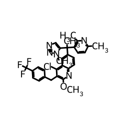 COc1nc2ccc(C(C)(c3ccc(C)nc3C)c3cnnn3C)cc2c(Cl)c1Cc1ccc(C(F)(F)F)cc1